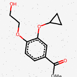 COC(=O)c1ccc(OCCO)c(OC2CC2)c1